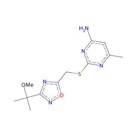 COC(C)(C)c1noc(CSc2nc(C)cc(N)n2)n1